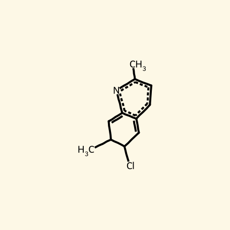 Cc1ccc2c(n1)=CC(C)C(Cl)C=2